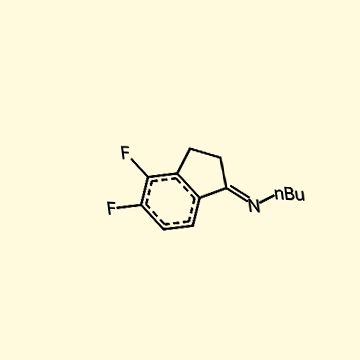 CCCCN=C1CCc2c1ccc(F)c2F